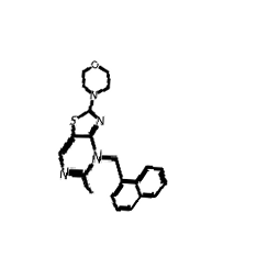 CC1=NC=C2SC(N3CCOCC3)N=C2N1Cc1cccc2ccccc12